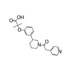 CC(C)(Oc1cccc(C2CCCN(C(=O)Cc3ccncc3)C2)c1)C(=O)O